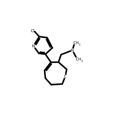 CN(C)CC1CCCCCC=C1c1ccc(Cl)nc1